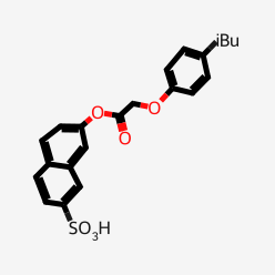 CCC(C)c1ccc(OCC(=O)Oc2ccc3ccc(S(=O)(=O)O)cc3c2)cc1